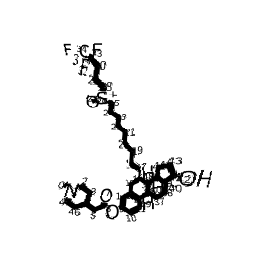 CN1CCC(CC(=O)Oc2ccc3c(c2)C[C@@H](CCCCCCCCC[S+]([O-])CCCC(F)(F)C(F)(F)F)[C@@H]2[C@@H]3CC[C@]3(C)[C@@H](O)CC[C@@H]23)CC1